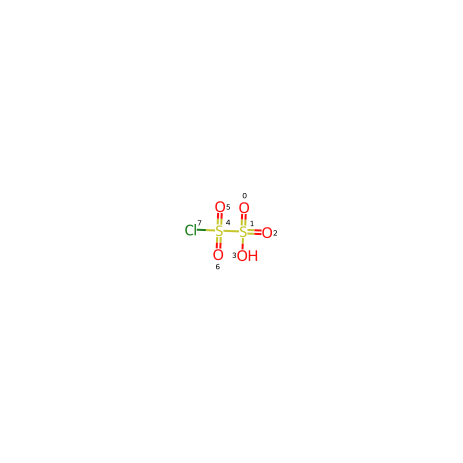 O=S(=O)(O)S(=O)(=O)Cl